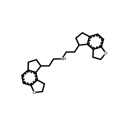 c1cc2c(c3c1CCC3CCNCCC1CCc3ccc4c(c31)CCO4)CCO2